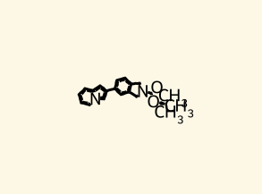 CC(C)(C)OC(=O)N1Cc2ccc(-c3cc4ccccn4c3)cc2C1